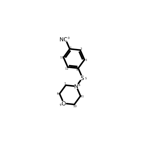 N#Cc1ccc(SN2CCOCC2)cc1